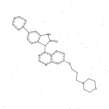 O=C1Nc2cc(-c3ccccc3)ccc2C1c1ncnc2cc(OCCCN3CCOCC3)ccc12